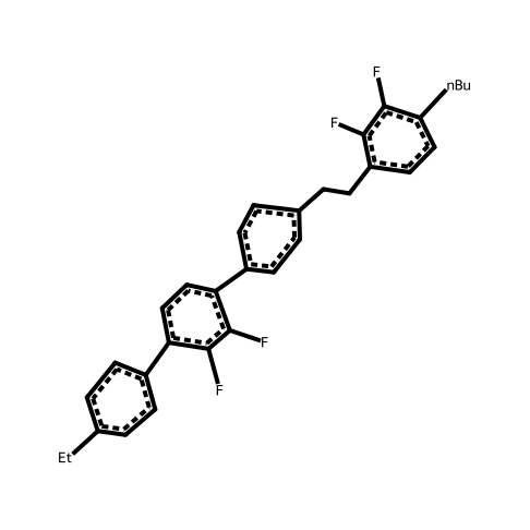 CCCCc1ccc(CCc2ccc(-c3ccc(-c4ccc(CC)cc4)c(F)c3F)cc2)c(F)c1F